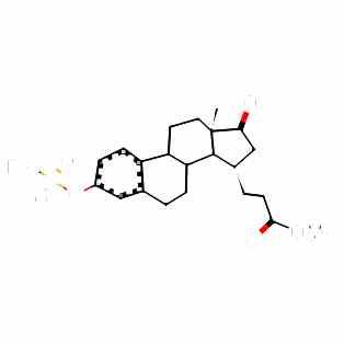 COC(=O)CC[C@@H]1CC(=O)[C@@]2(C)CCC3c4ccc(OS(=O)(=O)C(F)(F)F)cc4CCC3C12